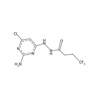 Nc1nc(Cl)cc(NNC(=O)CCC(F)(F)F)n1